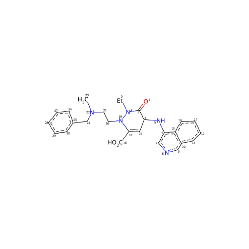 CCN1C(=O)C(Nc2cncc3ccccc23)C=C(C(=O)O)N1CCN(C)Cc1ccccc1